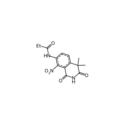 CCC(=O)Nc1ccc2c(c1[N+](=O)[O-])C(=O)NC(=O)C2(C)C